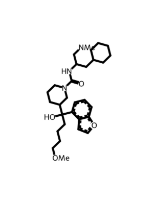 CNCC(CC1CCCCC1)NC(=O)N1CCCC(C(O)(CCCCOC)c2cccc3occc23)C1